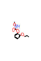 CCCOc1ccccc1OC(=O)NOC